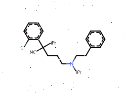 CC(C)N(CCCC(C#N)(c1ccccc1Cl)C(C)C)CCc1ccccc1